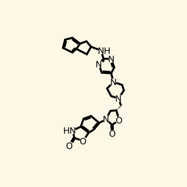 O=C1O[C@@H](CN2CCN(c3cnc(NC4Cc5ccccc5C4)nc3)CC2)CN1c1ccc2[nH]c(=O)oc2c1